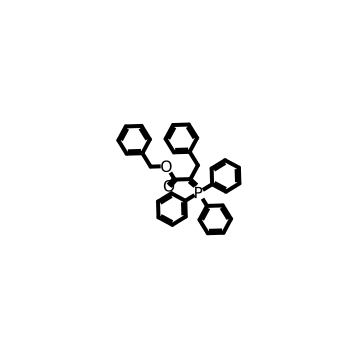 O=C(OCc1ccccc1)C(Cc1ccccc1)=P(c1ccccc1)(c1ccccc1)c1ccccc1